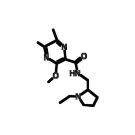 CCN1CCCC1CNC(=O)c1nc(C)c(C)nc1OC